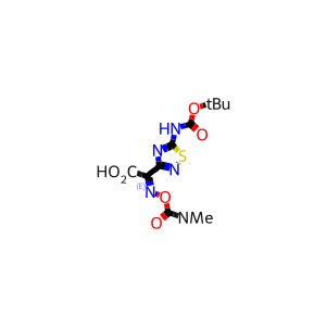 CNC(=O)O/N=C(/C(=O)O)c1nsc(NC(=O)OC(C)(C)C)n1